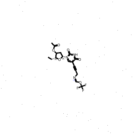 CC[C@H]1O[C@@H](n2cc(C#CC/N=C\OC(F)(F)F)c(=O)[nH]c2=O)CC1OC(C)=O